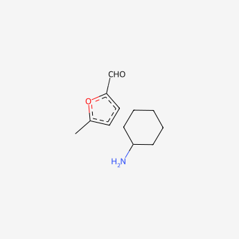 Cc1ccc(C=O)o1.NC1CCCCC1